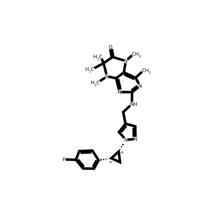 Cc1nc(NCc2cnn([C@@H]3C[C@@H]3c3ccc(F)cc3)c2)nc2c1N(C)C(=O)C(C)(C)N2C